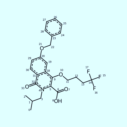 CC(C)Cn1c(C(=O)O)c(OCCCC(F)(F)F)c2cc(OCc3ccccc3)ccc2c1=O